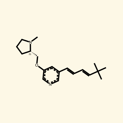 CN1CCC[C@H]1COc1cncc(C=CC=CC(C)(C)C)c1